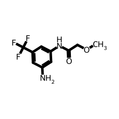 COCC(=O)Nc1cc(N)cc(C(F)(F)F)c1